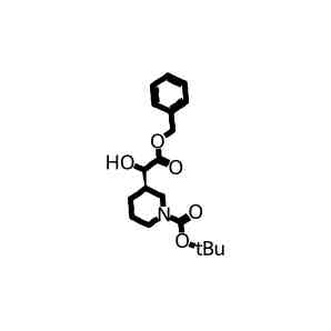 CC(C)(C)OC(=O)N1CCC[C@@H](C(O)C(=O)OCc2ccccc2)C1